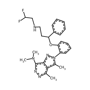 Cc1nnc(N(C)C)c2nn(-c3ccccc3OC(CCNCC(F)F)c3ccccc3)c(C)c12